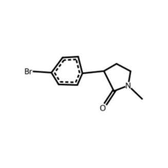 CN1CCC(c2ccc(Br)cc2)C1=O